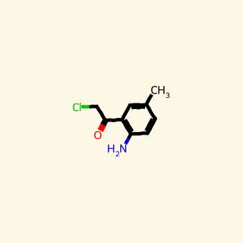 Cc1ccc(N)c(C(=O)CCl)c1